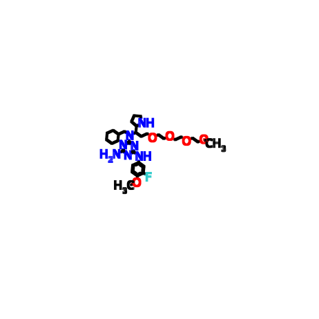 COCCOCCOCCOCCC(C1CCCN1)N(CC1CCCCC1)c1nc(N)nc(Nc2ccc(OC)c(F)c2)n1